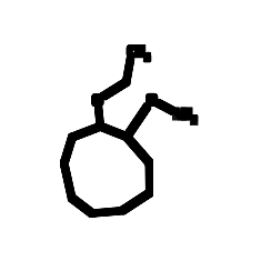 CCOC1CCCCCCCC1ON